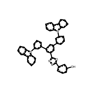 Oc1cccc(-c2nnc(-c3cc(-c4cccc(-n5c6ccccc6c6ccccc65)c4)cc(-c4cccc(-n5c6ccccc6c6ccccc65)c4)c3)o2)c1